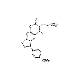 COc1ccc(-c2coc3cc4oc(=O)c(CCC(=O)O)c(C)c4cc23)cc1